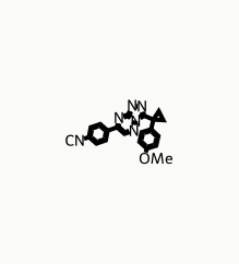 [C-]#[N+]c1ccc(-c2cnn3c(C4(c5ccc(OC)cc5)CC4)nnc3n2)cc1